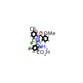 COc1ccccc1C(=O)Nc1cc(C(F)(F)F)ccc1C(=O)O.Nc1c(C(=O)O)cc(F)c(F)c1F